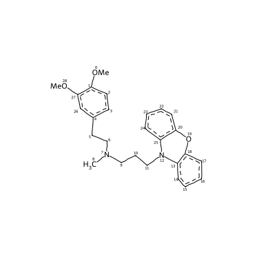 COc1ccc(CCN(C)CCCN2c3ccccc3Oc3ccccc32)cc1OC